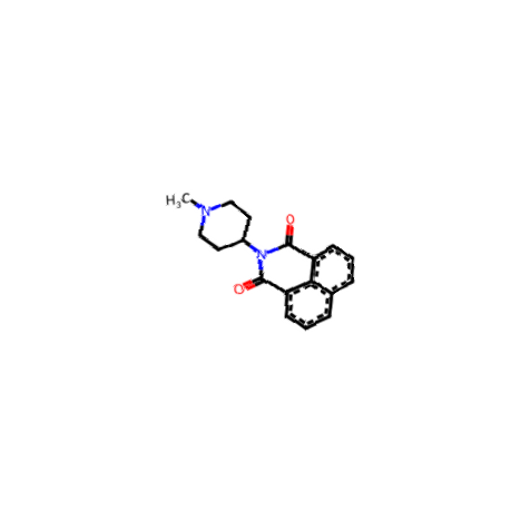 CN1CCC(N2C(=O)c3cccc4cccc(c34)C2=O)CC1